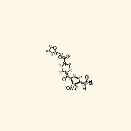 COc1cc(C(=O)N2CCN(C(=O)OCC3CCCO3)CC2)ccc1N[SH](=O)=O